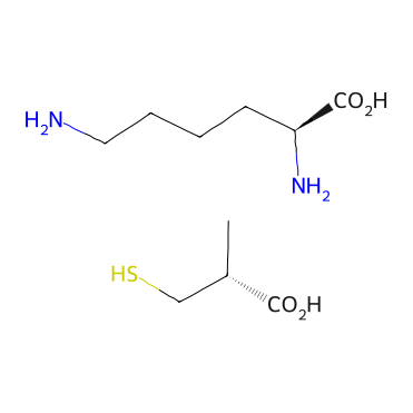 C[C@@H](CS)C(=O)O.NCCCC[C@H](N)C(=O)O